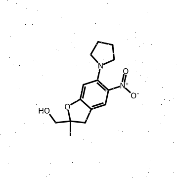 CC1(CO)Cc2cc([N+](=O)[O-])c(N3CCCC3)cc2O1